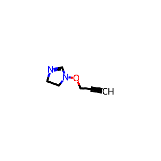 C#CCON1C=NCC1